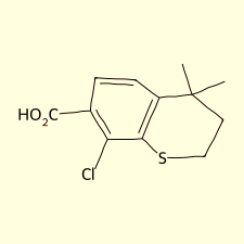 CC1(C)CCSc2c1ccc(C(=O)O)c2Cl